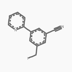 N#Cc1cc(CI)cc(-c2ccccn2)c1